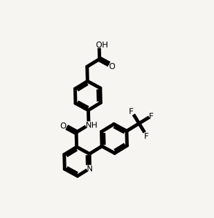 O=C(O)Cc1ccc(NC(=O)c2cccnc2-c2ccc(C(F)(F)F)cc2)cc1